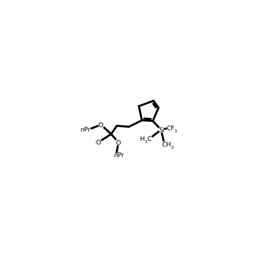 CCCOC([O])(CCC1=C([Si](C)(C)C(F)(F)F)C=CC1)OCCC